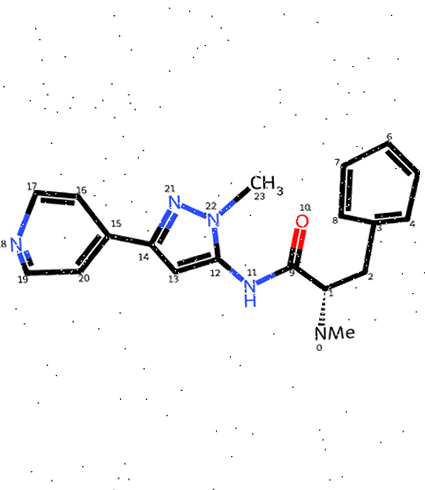 CN[C@@H](Cc1ccccc1)C(=O)Nc1cc(-c2ccncc2)nn1C